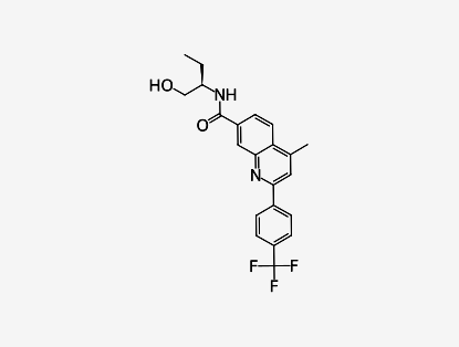 CC[C@H](CO)NC(=O)c1ccc2c(C)cc(-c3ccc(C(F)(F)F)cc3)nc2c1